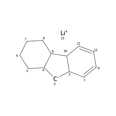 C1=CC2[CH-]C3CCCCC3C2C=C1.[Li+]